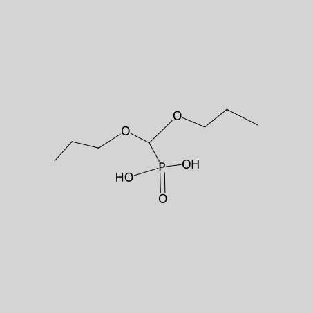 CCCOC(OCCC)P(=O)(O)O